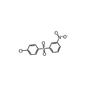 O=[N+]([O-])c1cccc(S(=O)(=O)c2ccc(Cl)cc2)c1